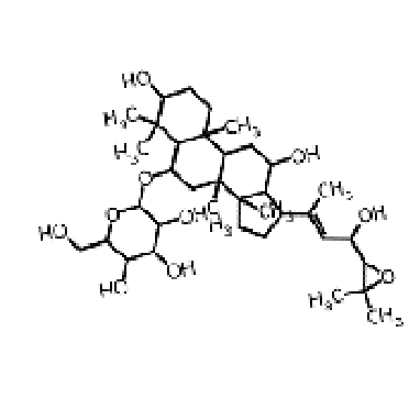 C/C(=C\C(O)C1OC1(C)C)C1CCC2(C)C1C(O)CC1C3(C)CCC(O)C(C)(C)C3C(OC3OC(CO)C(O)C(O)C3O)CC12C